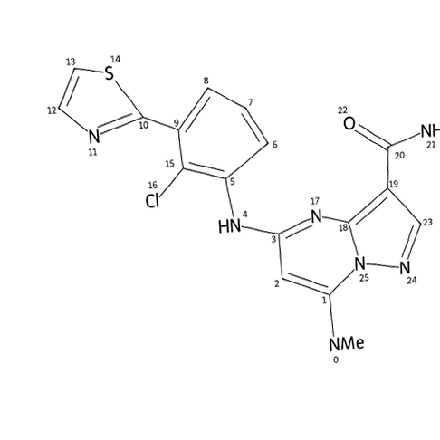 CNc1cc(Nc2cccc(-c3nccs3)c2Cl)nc2c(C(N)=O)cnn12